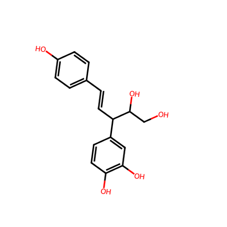 OCC(O)C(C=Cc1ccc(O)cc1)c1ccc(O)c(O)c1